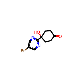 O=C1CCC(O)(c2ncc(Br)cn2)CC1